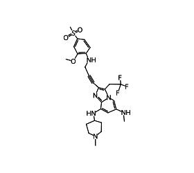 CNc1cc(NC2CCN(C)CC2)c2nc(C#CCNc3ccc(S(C)(=O)=O)cc3OC)c(CC(F)(F)F)n2c1